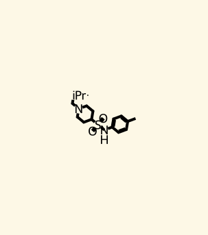 C[C](C)CN1CCC(S(=O)(=O)Nc2ccc(C)cc2)CC1